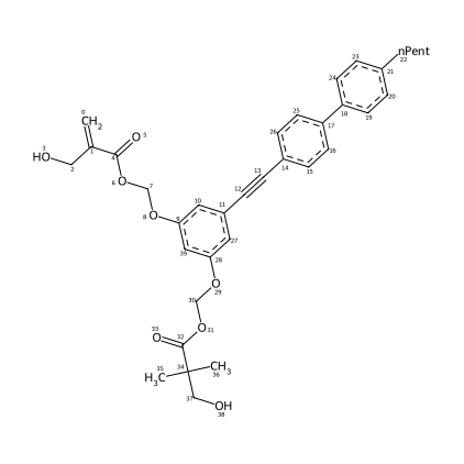 C=C(CO)C(=O)OCOc1cc(C#Cc2ccc(-c3ccc(CCCCC)cc3)cc2)cc(OCOC(=O)C(C)(C)CO)c1